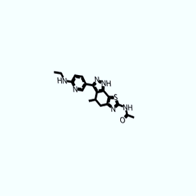 CCNc1ccc(-c2n[nH]c3c2C(C)Cc2nc(NC(C)=O)sc2-3)cn1